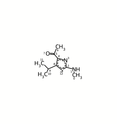 CNc1nc(C(C)=O)c(C(C)C)s1